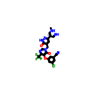 CN/C=C(\C=N)c1cc(Cn2cnc(C(F)(F)F)c(Oc3cc(Cl)cc(C#N)c3)c2=O)c(=O)[nH]n1